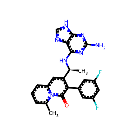 Cc1cccc2cc([C@H](C)Nc3nc(N)nc4[nH]cnc34)c(-c3cc(F)cc(F)c3)c(=O)n12